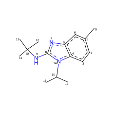 Cc1ccc2c(c1)nc(NC(C)(C)C)n2C(C)C